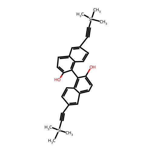 C[Si](C)(C)C#Cc1ccc2c(-c3c(O)ccc4cc(C#C[Si](C)(C)C)ccc34)c(O)ccc2c1